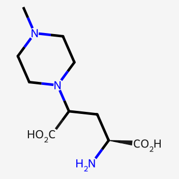 CN1CCN(C(C[C@H](N)C(=O)O)C(=O)O)CC1